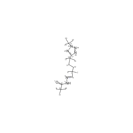 CC(C)(/C=N/NC(=O)C(C)(C)C)CCC(C)(C)c1nnn(C(C)(C)C)n1